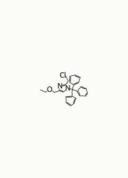 CCOCc1cn(C(c2ccccc2)(c2ccccc2)c2ccccc2)c(CCl)n1